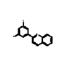 Fc1cc(F)cc(-c2ccc3ccccc3n2)c1